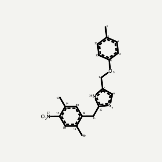 Cc1ccc(OCc2csc(Cc3cc(C)c([N+](=O)[O-])cc3C)n2)cc1